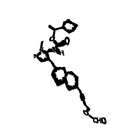 CC(OC(=O)Nc1c(-c2ccc3cc(C#CCOC=O)ccc3c2)cnn1C)c1ccccc1